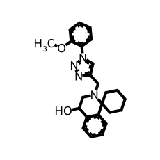 COc1ccccc1-n1cc(CN2CC(O)c3ccccc3C23CCCCC3)nn1